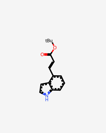 CC(C)(C)OC(=O)/C=C/c1cccc2[nH]ccc12